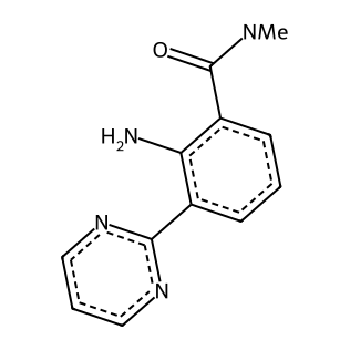 CNC(=O)c1cccc(-c2ncccn2)c1N